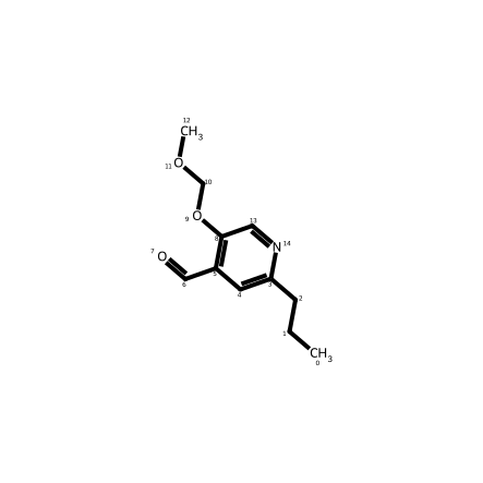 CCCc1cc(C=O)c(OCOC)cn1